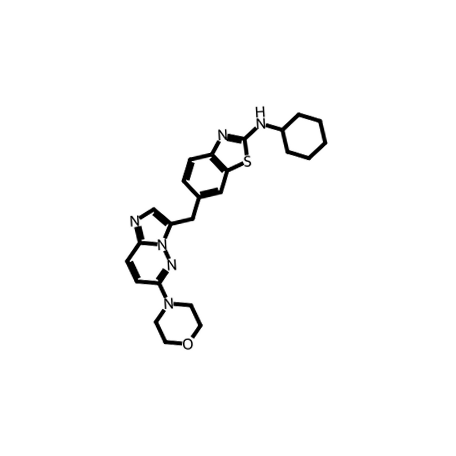 c1cc2nc(NC3CCCCC3)sc2cc1Cc1cnc2ccc(N3CCOCC3)nn12